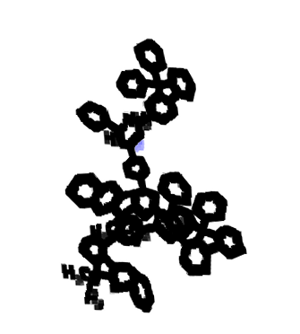 CC1(C)c2cc3ccccc3cc2-c2c(-c3ccc(C4=CC(c5cccc6c5C(c5ccccc5)(c5ccc(-c7cc(-c8ccc(/C(=C/Cc9ccc%10c(c9)C(c9ccccc9)(c9ccccc9)c9ccccc9-%10)NC(N)c9ccccc9)cc8)c8c(c7)C(C)(C)c7cc9ccccc9cc7-8)cc5)c5ccccc5-6)NC(c5ccccc5)=N4)cc3)cccc21